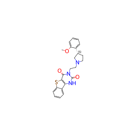 COc1ccccc1[C@@H]1CCN(CCn2c(=O)[nH]c3c(sc4ccccc43)c2=O)C1